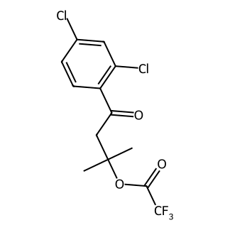 CC(C)(CC(=O)c1ccc(Cl)cc1Cl)OC(=O)C(F)(F)F